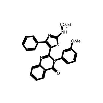 CCOC(=O)Nc1nc(-c2ccccc2)c(-c2nc3ccccc3c(=O)n2-c2cccc(OC)c2)s1